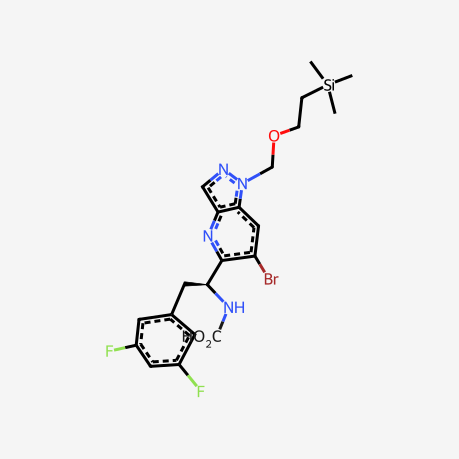 C[Si](C)(C)CCOCn1ncc2nc([C@H](Cc3cc(F)cc(F)c3)NC(=O)O)c(Br)cc21